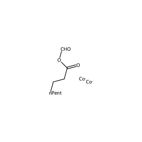 CCCCCCCC(=O)OC=O.[Co].[Co]